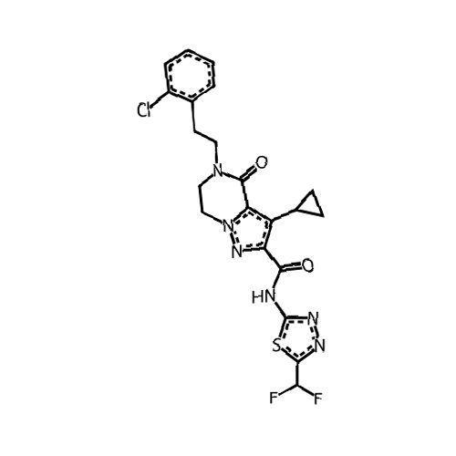 O=C(Nc1nnc(C(F)F)s1)c1nn2c(c1C1CC1)C(=O)N(CCc1ccccc1Cl)CC2